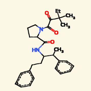 CCC(C)(C)C(=O)C(=O)N1CCCC1C(=O)NC(CCc1ccccc1)C(C)c1ccccc1